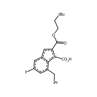 CC(C)Cc1cc(F)cc2cc(C(=O)OCCC(C)(C)C)n(C(=O)O)c12